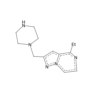 CCc1nccn2nc(CN3CCNCC3)cc12